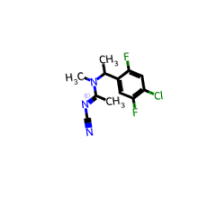 C/C(=N\C#N)N(C)C(C)c1cc(F)c(Cl)cc1F